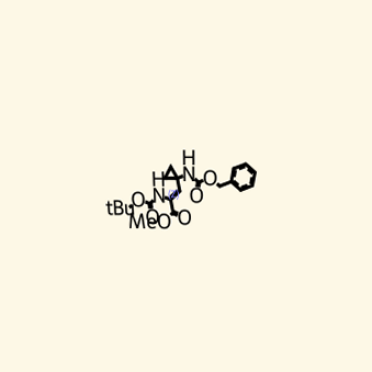 COC(=O)/C(=C/C1(NC(=O)OCc2ccccc2)CC1)NC(=O)OC(C)(C)C